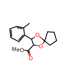 COC(=O)C1OC2(CCCC2)OC1c1ccccc1C